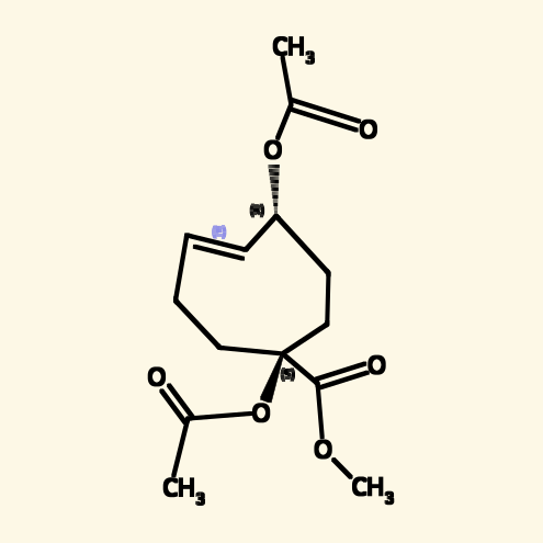 COC(=O)[C@]1(OC(C)=O)CC/C=C/[C@H](OC(C)=O)CC1